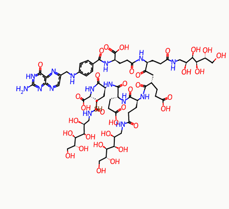 Nc1nc2ncc(CNc3ccc(C(=O)N[C@H](CCC(=O)N[C@@H](CCC(=O)NC[C@H](O)[C@@H](O)[C@H](O)[C@H](O)CO)C(=O)C[C@H](CCC(=O)O)C(=O)N[C@@H](CCC(=O)NC[C@H](O)[C@@H](O)[C@H](O)[C@H](O)CO)C(=O)N[C@H](CCC(=O)O)C(=O)N[C@@H](CCC(=O)NC[C@H](O)[C@@H](O)[C@H](O)[C@H](O)CO)C(=O)N[C@H](CS)C(=O)O)C(=O)O)cc3)nc2c(=O)[nH]1